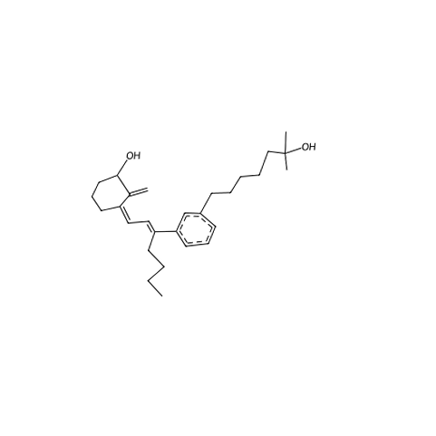 C=C1/C(=C\C=C(/CCCC)c2cccc(CCCCCC(C)(C)O)c2)CCCC1O